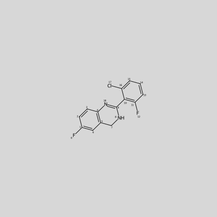 Fc1ccc2c(c1)CNC(c1c(F)cccc1Cl)=N2